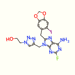 Nc1nc(F)nc2c1nc(Cc1cc3c(cc1I)OCO3)n2Cc1cn(CCO)nn1